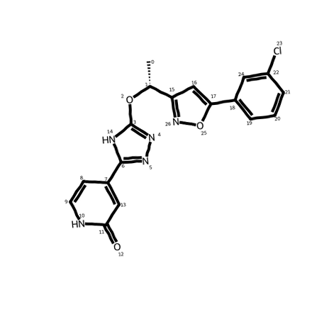 C[C@@H](Oc1nnc(-c2cc[nH]c(=O)c2)[nH]1)c1cc(-c2cccc(Cl)c2)on1